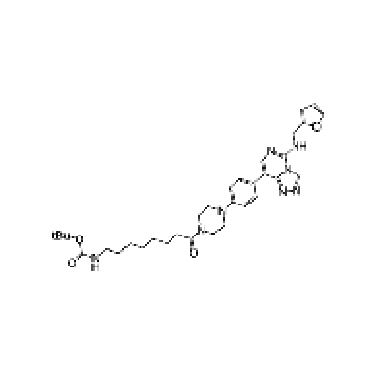 CC(C)(C)OC(=O)NCCCCCCCC(=O)N1CCN(c2ccc(-c3cnc(NCc4ccco4)n4cnnc34)cc2)CC1